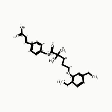 CCc1ccc(CC)c(OCCCC(C)(C)C(=O)Nc2ccc(C=CC(=O)O)cc2)c1